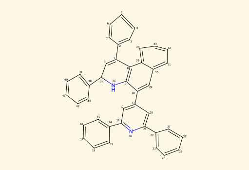 C1=C(c2ccccc2)c2c(c(-c3cc(-c4ccccc4)nc(-c4ccccc4)c3)cc3ccccc23)NC1c1ccccc1